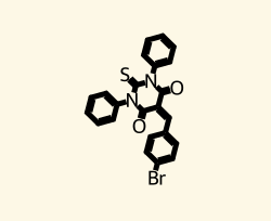 O=C1C(=Cc2ccc(Br)cc2)C(=O)N(c2ccccc2)C(=S)N1c1ccccc1